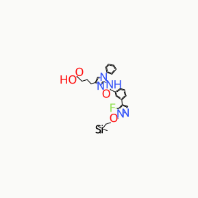 C[Si](C)(C)CCOCn1ncc(-c2cccc(C(=O)Nc3nc(CCCC(=O)O)cn3-c3ccccc3)c2)c1F